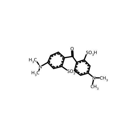 CN(C)c1ccc(C(=O)c2ccc(N(C)C)cc2S(=O)(=O)O)c(S(=O)(=O)O)c1